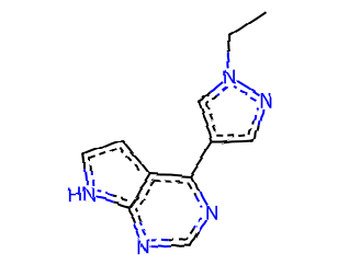 CCn1cc(-c2ncnc3[nH]ccc23)cn1